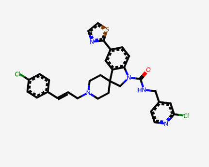 O=C(NCc1ccnc(Cl)c1)N1CC2(CCN(CC=Cc3ccc(Cl)cc3)CC2)c2cc(-c3nccs3)ccc21